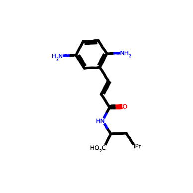 CC(C)CC(NC(=O)/C=C/c1cc(N)ccc1N)C(=O)O